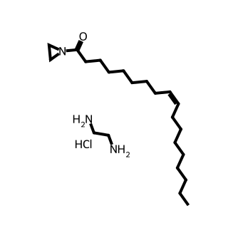 CCCCCCCC/C=C\CCCCCCCC(=O)N1CC1.Cl.NCCN